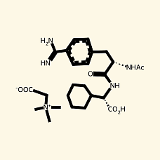 CC(=O)N[C@@H](Cc1ccc(C(=N)N)cc1)C(=O)N[C@H](C(=O)O)C1CCCCC1.C[N+](C)(C)CC(=O)[O-]